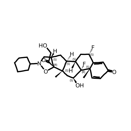 C[C@]12C=CC(=O)C=C1[C@@H](F)C[C@H]1[C@@H]3C[C@H]4CN(C5CCCCC5)O[C@@]4(C(=O)CO)[C@@]3(C)C[C@H](O)[C@@]12F